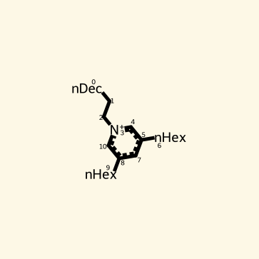 CCCCCCCCCCCC[n+]1cc(CCCCCC)cc(CCCCCC)c1